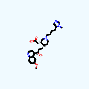 COc1ccc2nccc([C@H](O)CC[C@@H]3CCN(CCCCc4cncn4C)C[C@@H]3CC(=O)O)c2c1